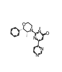 C[C@@H]1[C@H](c2ccccc2)OCCN1c1nc(-c2ccncn2)cc(=O)n1C